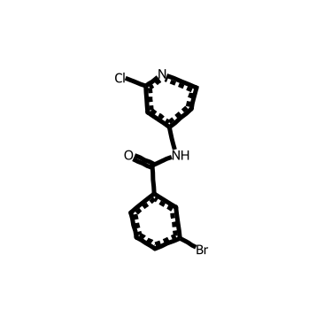 O=C(Nc1ccnc(Cl)c1)c1cccc(Br)c1